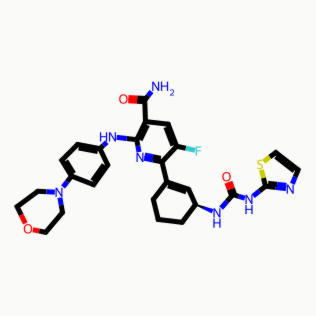 NC(=O)c1cc(F)c(C2=C[C@@H](NC(=O)Nc3nccs3)CCC2)nc1Nc1ccc(N2CCOCC2)cc1